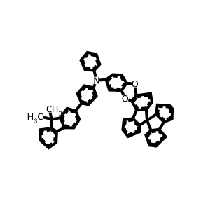 CC1(C)c2ccccc2-c2ccc(-c3ccc(N(c4ccccc4)c4ccc5c(c4)Oc4c(ccc6c4-c4ccccc4C64c6ccccc6-c6ccccc64)O5)cc3)cc21